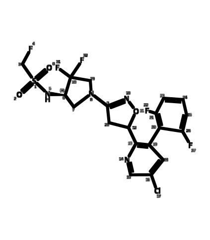 O=S(=O)(CF)N[C@@H]1CN(C2=NOC(c3ncc(Cl)cc3-c3c(F)cccc3F)C2)CC1(F)F